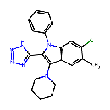 Cc1cc2c(N3CCCCC3)c(-c3nnn[nH]3)n(-c3ccccc3)c2cc1Cl